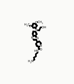 COc1cc(OC)cc(N(CCO)c2ccc3ncc(C4=CC=NC(C(=O)NCCCCCN)=C=C4)nc3c2)c1